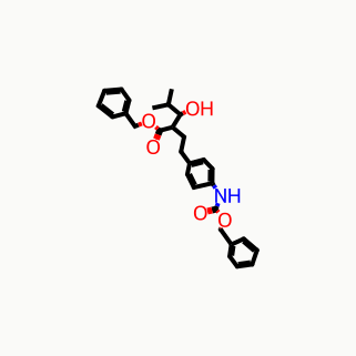 CC(C)C(O)C(CCc1ccc(NC(=O)OCc2ccccc2)cc1)C(=O)OCc1ccccc1